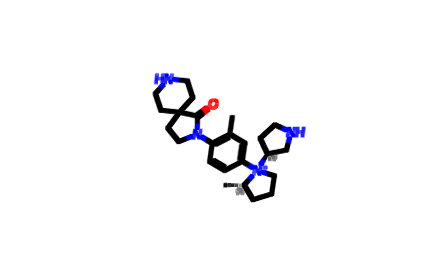 Cc1cc([N+]2([C@H]3CCNC3)CCC[C@@H]2C)ccc1N1CCC2(CCNCC2)C1=O